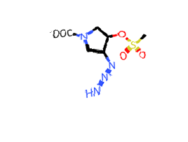 CS(=O)(=O)OC1CN(C(=O)[O-])CC1N=[N+]=N